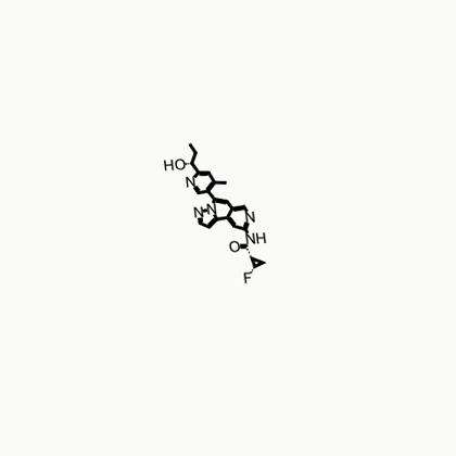 CC[C@@H](O)c1cc(C)c(-c2cc3cnc(NC(=O)[C@@H]4C[C@@H]4F)cc3c3ccnn23)cn1